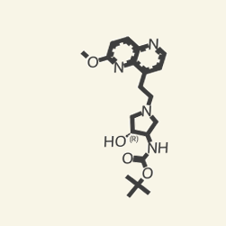 COc1ccc2nccc(CCN3CC(NC(=O)OC(C)(C)C)[C@H](O)C3)c2n1